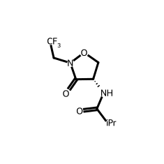 CC(C)C(=O)N[C@H]1CON(CC(F)(F)F)C1=O